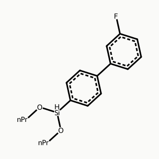 CCCO[SiH](OCCC)c1ccc(-c2cccc(F)c2)cc1